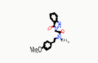 COc1ccc(CCN(C)C(=O)Cn2nnc3ccccc3c2=O)cc1